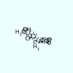 C[C@H](Cc1ccc(C2CCC(C)(O)CC2)c(Cl)c1)CN1CCC2(C1)CS(=O)(=O)C2